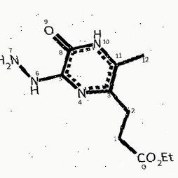 CCOC(=O)CCc1nc(NN)c(=O)[nH]c1C